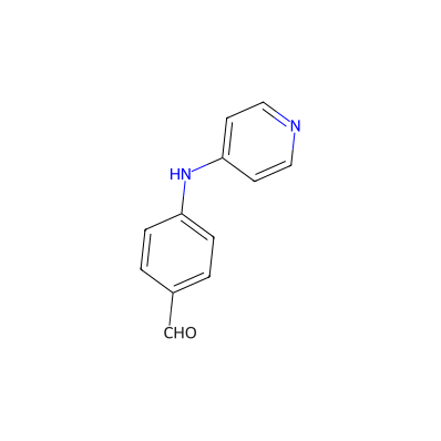 O=Cc1ccc(Nc2ccncc2)cc1